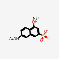 CC(=O)Nc1ccc2c(O)cc(S(=O)(=O)[O-])cc2c1.[Na+]